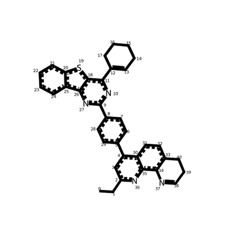 CCc1cc(-c2ccc(-c3nc(C4=CCCCC4)c4sc5ccccc5c4n3)cc2)c2ccc3c(c2n1)N=CCC3